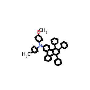 COc1ccc(N(c2ccc(C)cc2)c2ccc3c(c2)c2ccccc2c2c(-c4ccccc4)cc(-c4ccccc4)c(-c4ccccc4)c32)cc1